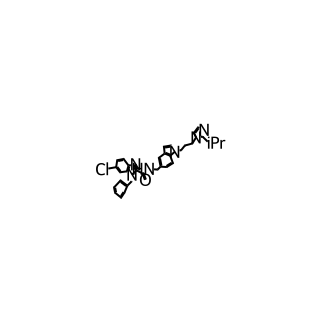 CC(C)c1nccn1CCCn1ccc2cc(CNC(=O)c3nc4ccc(Cl)cc4n3Cc3ccccc3)ccc21